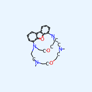 CN1CCOCCN(C)CCN2CCOCCN(CC1)c1cccc3c1oc1c2cccc13